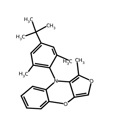 Cc1cc(C(C)(C)C)cc(C)c1N1c2ccccc2Oc2coc(C)c21